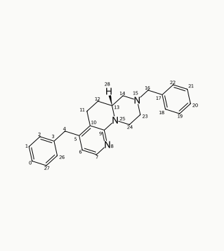 c1ccc(Cc2ccnc3c2CC[C@@H]2CN(Cc4ccccc4)CCN32)cc1